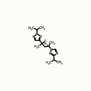 CC(C)c1ncn(C(C)CC(C)(C)c2cnn(C(C)C)n2)n1